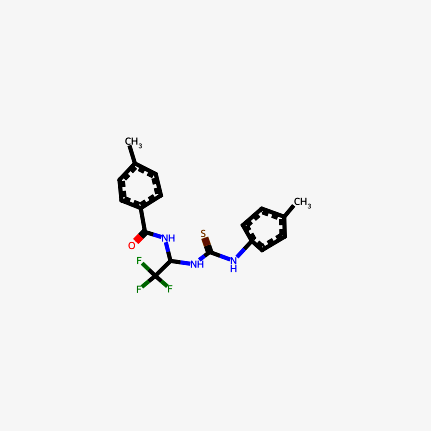 Cc1ccc(NC(=S)NC(NC(=O)c2ccc(C)cc2)C(F)(F)F)cc1